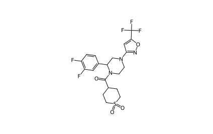 O=C(C1CCS(=O)(=O)CC1)N1CCN(c2cc(C(F)(F)F)on2)CC1c1ccc(F)c(F)c1